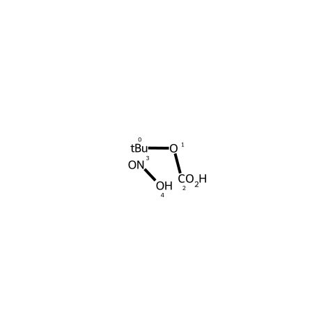 CC(C)(C)OC(=O)O.O=NO